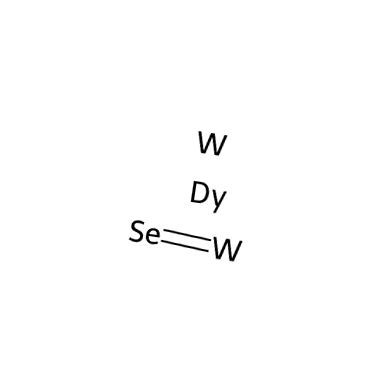 [Dy].[Se]=[W].[W]